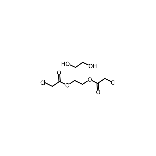 O=C(CCl)OCCOC(=O)CCl.OCCO